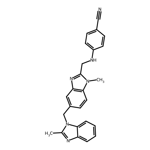 Cc1nc2ccccc2n1Cc1ccc2c(c1)nc(CNc1ccc(C#N)cc1)n2C